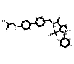 O=C(O)COc1ccc(-c2ccc(CNC(=O)c3cnn(-c4ccccc4)c3C(F)(F)F)cc2)cc1